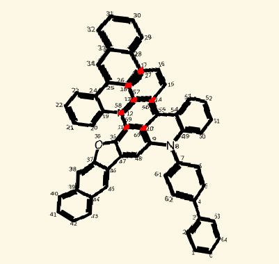 c1ccc(-c2ccc(N(c3cc(N(c4ccccc4)c4ccccc4-c4ccc5ccccc5c4)c4oc5cc6ccccc6cc5c4c3)c3ccccc3-c3ccccc3)cc2)cc1